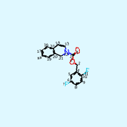 O=C(OCc1cc(F)ccc1F)N1C=Cc2ccccc2C1